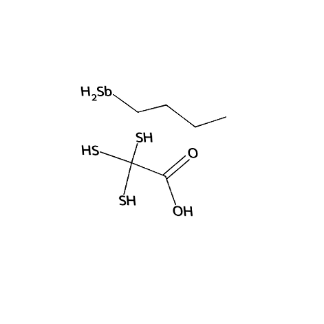 CCC[CH2][SbH2].O=C(O)C(S)(S)S